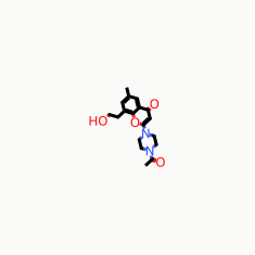 CC(=O)N1CCN(c2cc(=O)c3cc(C)cc(CCO)c3o2)CC1